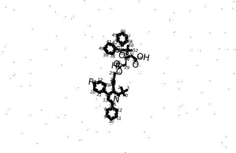 CC(C)(C)c1nc(-c2ccccc2)cc(-c2ccc(F)cc2)c1C#CCO[PH](=O)C[C@H](CC(=O)O)O[Si](c1ccccc1)(c1ccccc1)C(C)(C)C